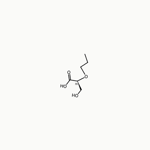 CCCO[C@@H](CO)C(=O)O